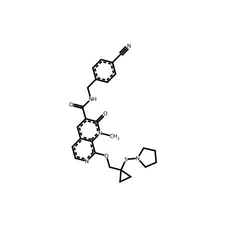 Cn1c(=O)c(C(=O)NCc2ccc(C#N)cc2)cc2ccnc(OCC3(SN4CCCC4)CC3)c21